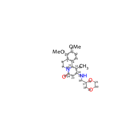 COc1ccc2c(c1OC)CCn1c-2c(C)c(NCC2COCCO2)cc1=O